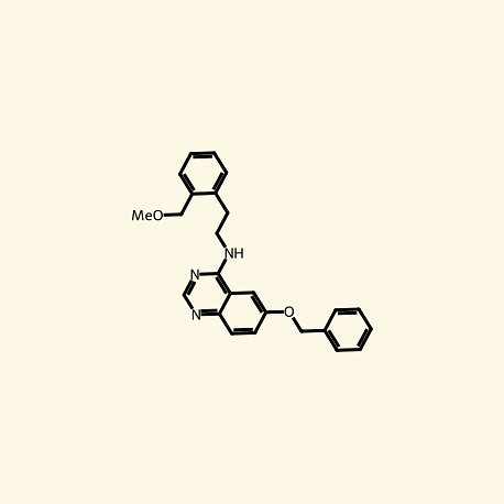 COCc1ccccc1CCNc1ncnc2ccc(OCc3ccccc3)cc12